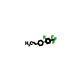 CCC[C@H]1CC[C@H](c2ccc(C(F)(F)F)cc2F)CC1